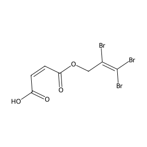 O=C(O)/C=C\C(=O)OCC(Br)=C(Br)Br